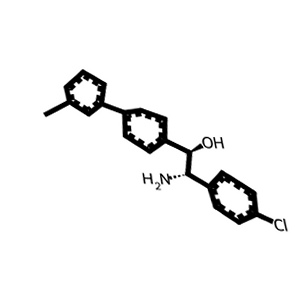 Cc1cccc(-c2ccc([C@@H](O)[C@@H](N)c3ccc(Cl)cc3)cc2)c1